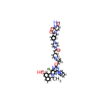 CCc1cccc2cc(O)cc(-c3ncc4c(N5CC6CCC(C5)N6)nc(OCC5(CN6CCC(CC(=O)N7CCN(c8ccc9c(c8)CN([C@H]8CCC(=O)NC8=O)C9=O)CC7)CC6)CC5)nc4c3F)c12